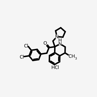 CC1CNC(CN2CCCC2)(C(=O)Cc2ccc(Cl)c(Cl)c2)c2ccccc21.Cl